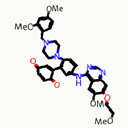 COCCOc1cc2ncnc(Nc3ccc(N4CCN(Cc5ccc(OC)cc5OC)CC4)c(C4=CC(=O)C=CC4=O)c3)c2cc1OC